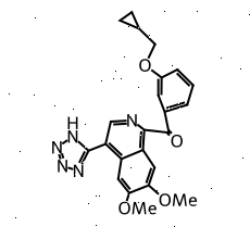 COc1cc2c(-c3nnn[nH]3)cnc(C(=O)c3cccc(OCC4CC4)c3)c2cc1OC